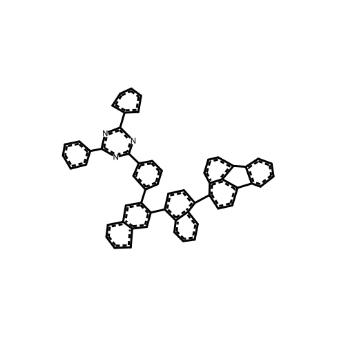 c1ccc(-c2nc(-c3ccccc3)nc(-c3cccc(-c4cc5ccccc5cc4-c4ccc(-c5ccc6c7c(cccc57)-c5ccccc5-6)c5ccccc45)c3)n2)cc1